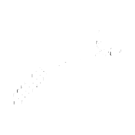 O=P(OCCCCCCCCCCCC(F)(F)C(F)(F)C(F)(F)C(F)(F)C(F)(F)C(F)(F)C(F)(F)C(F)(F)F)(ON1CCOCC1)ON1CCOCC1